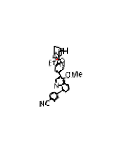 CCC(=O)N1C2CC[C@H]1CN(c1ccc(-c3cnc4c(-c5ccc(C#N)cc5)cccc4c3OC)cn1)C2